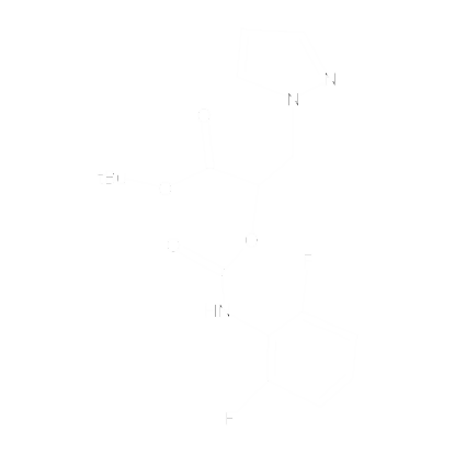 CC(C)(C)OC(=O)C(Cn1cccn1)OC(=O)Nc1c(F)cccc1F